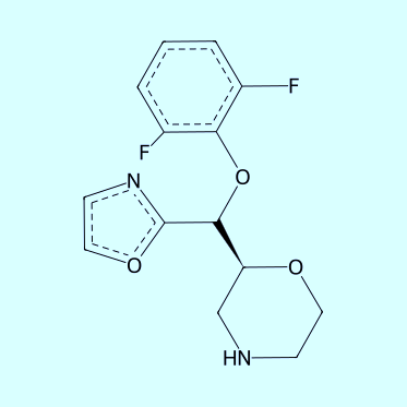 Fc1cccc(F)c1OC(c1ncco1)[C@@H]1CNCCO1